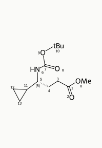 COC(=O)CC[C@@H](NC(=O)OC(C)(C)C)C1CC1